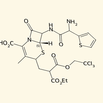 CCOC(=O)C(CC1S[C@H]2C(NC(=O)C(N)c3cccs3)C(=O)N2C(C(=O)O)=C1C)C(=O)OCC(Cl)(Cl)Cl